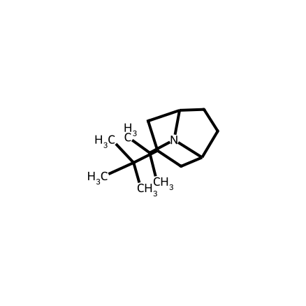 CC(C)N1C2CCC1CC(C(C)(C)C)C2